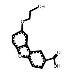 O=C(O)c1ccc2oc3ccc(OCCO)cc3c2c1